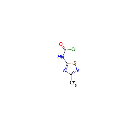 O=C(Cl)Nc1nc(C(F)(F)F)ns1